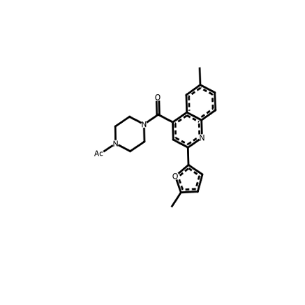 CC(=O)N1CCN(C(=O)c2cc(-c3ccc(C)o3)nc3ccc(C)cc23)CC1